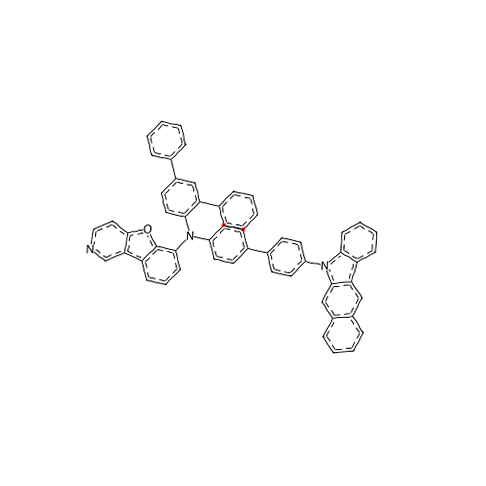 c1ccc(-c2ccc(N(c3ccc(-c4ccc(-n5c6ccccc6c6cc7ccccc7cc65)cc4)cc3)c3cccc4c3oc3ccncc34)c(-c3ccccc3)c2)cc1